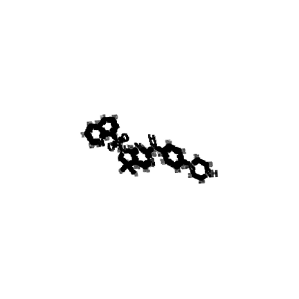 CC1(C)CN(S(=O)(=O)c2cccc3cccnc23)c2nc(Nc3ccc(N4CCNCC4)cc3)ncc21